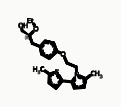 CCO[C@H](CO)Cc1ccc(OCCn2c(C)ccc2-c2ccc(C)s2)cc1